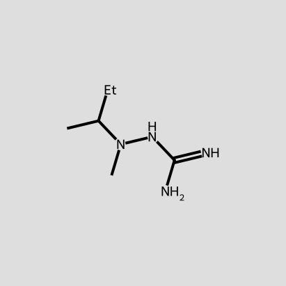 CCC(C)N(C)NC(=N)N